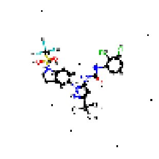 CC(C)(C)c1cc(NC(=O)Nc2cccc(Cl)c2Cl)n(-c2ccc3c(c2)CCN3S(=O)(=O)C(F)(F)F)n1